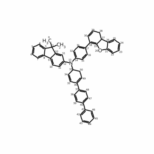 CC1(C)c2ccccc2-c2ccc(N(c3ccc(C4=C5Oc6ccccc6C5CC=C4)cc3)C3C=CC(c4ccc(-c5ccccc5)cc4)=CC3)cc21